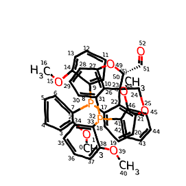 COc1ccccc1P(c1ccccc1OC)c1cccc2c1C1(CO2)c2c(cccc2P(c2ccccc2OC)c2ccccc2OC)O[C@@H]1C=O